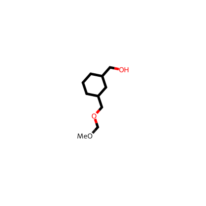 COCOCC1CCCC(CO)C1